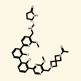 COc1nc(-c2cccc(-c3cccc(-c4cnc(CN5CC6(C5)CN(C(C)=O)C6)c(OC)n4)c3Cl)c2Cl)ccc1CNC[C@@H]1CCC(=O)N1